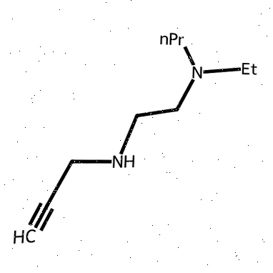 C#CCNCCN(CC)CCC